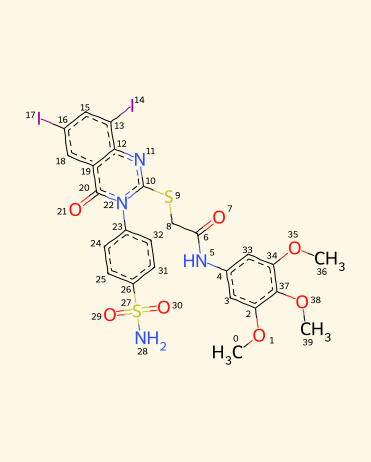 COc1cc(NC(=O)CSc2nc3c(I)cc(I)cc3c(=O)n2-c2ccc(S(N)(=O)=O)cc2)cc(OC)c1OC